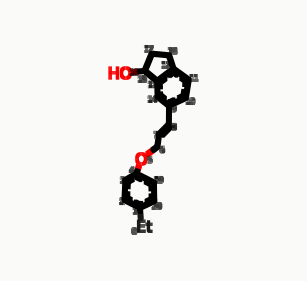 CCc1ccc(OCC=Cc2ccc3c(c2)C(O)CC3)cc1